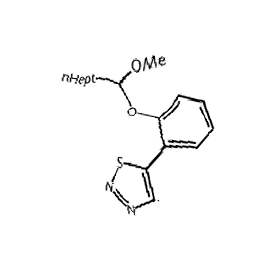 CCCCCCCC(OC)Oc1ccccc1-c1[c]nns1